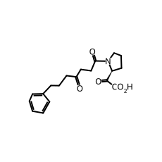 O=C(CCCc1ccccc1)CCC(=O)N1CCC[C@H]1C(=O)C(=O)O